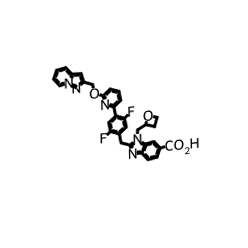 O=C(O)c1ccc2nc(Cc3cc(F)c(-c4cccc(OCc5cc6ccccn6n5)n4)cc3F)n(CC3CCO3)c2c1